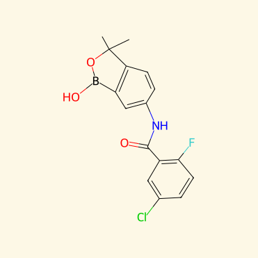 CC1(C)OB(O)c2cc(NC(=O)c3cc(Cl)ccc3F)ccc21